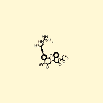 CC(C)N1C(=O)CN(C(CC(=O)OC(=O)C(F)(F)F)c2ccccc2)C(=O)c2cc(C#CC(S)CNC(=N)N)ccc21